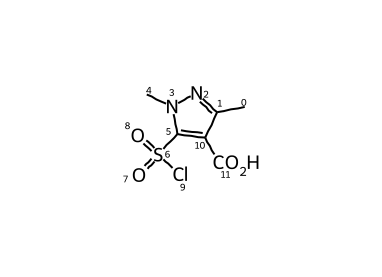 Cc1nn(C)c(S(=O)(=O)Cl)c1C(=O)O